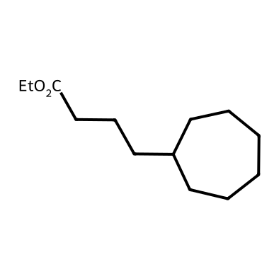 CCOC(=O)CCCC1CCCCCC1